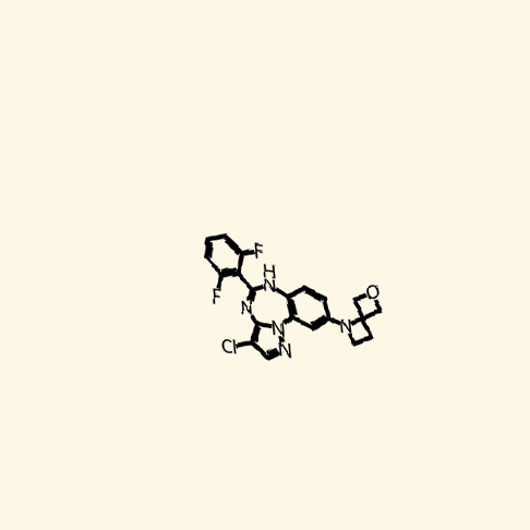 Fc1cccc(F)c1C1=Nc2c(Cl)cnn2-c2cc(N3CCC34COC4)ccc2N1